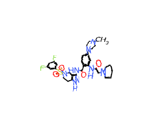 CN1CCN(c2ccc(C(=O)Nc3n[nH]c4c3CN(S(=O)(=O)c3cc(F)cc(F)c3)CC4)c(NC(=O)CN3CCCCC3)c2)CC1